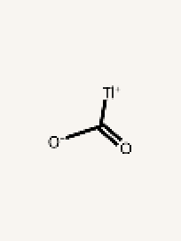 O=[C]([O-])[Tl+]